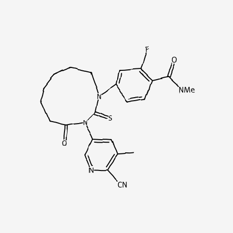 CNC(=O)c1ccc(N2CCCCCCC(=O)N(c3cnc(C#N)c(C)c3)C2=S)cc1F